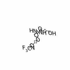 O=C(Nc1c[nH]c2ccc(OC3CC(c4ccc(C(F)(F)F)nc4)C3)cc12)C1CC(CO)C1